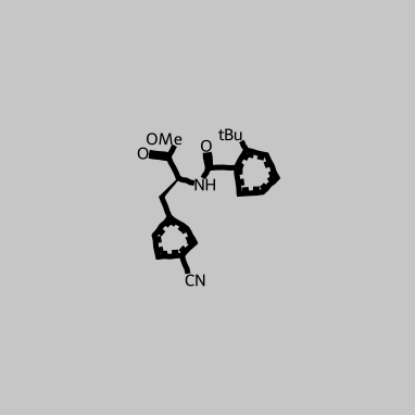 COC(=O)[C@H](Cc1ccc(C#N)cc1)NC(=O)c1ccccc1C(C)(C)C